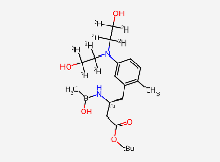 [2H]C([2H])(O)C([2H])([2H])N(c1ccc(C)c(C[C@@H](CC(=O)OC(C)(C)C)NB(C)O)c1)C([2H])([2H])C([2H])([2H])O